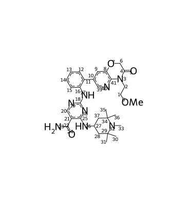 COCCN1C(=O)COc2cc(-c3ccccc3Nc3ncc(C(N)=O)c(NC4CC(C)(C)N(C)C(C)(C)C4)n3)cnc21